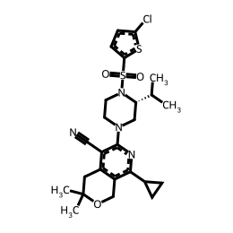 CC(C)[C@@H]1CN(c2nc(C3CC3)c3c(c2C#N)CC(C)(C)OC3)CCN1S(=O)(=O)c1ccc(Cl)s1